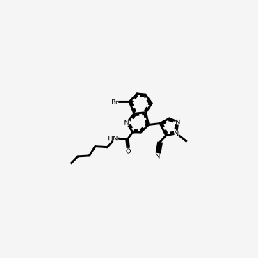 CCCCCNC(=O)c1cc(-c2cnn(C)c2C#N)c2cccc(Br)c2n1